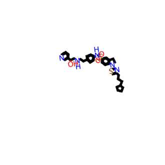 O=S(=O)(Nc1ccc(CCNCC(O)c2cccnc2)cc1)c1ccc2c(c1)CCN2c1nc(CCCC2CCCC2)cs1